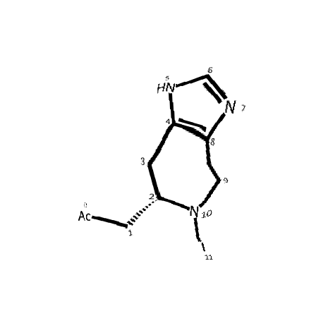 CC(=O)C[C@@H]1Cc2[nH]cnc2CN1I